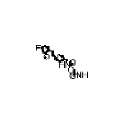 CNC(=O)COC(=O)NCC1CCN(CCc2ccc(F)cc2OC)CC1